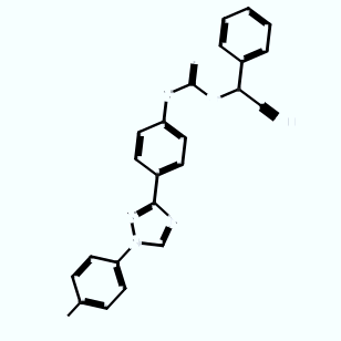 C#CC(OC(=O)Nc1ccc(-c2ncn(-c3ccc(C(F)(F)F)cc3)n2)cc1)c1ccccc1